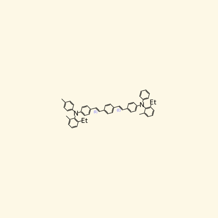 CCc1cccc(C)c1N(c1ccccc1)c1ccc(/C=C/c2ccc(/C=C/c3ccc(N(c4ccc(C)cc4)c4c(C)cccc4CC)cc3)cc2)cc1